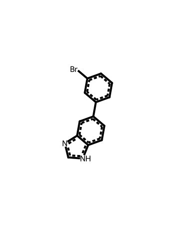 Brc1cccc(-c2ccc3[nH]cnc3c2)c1